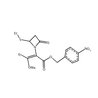 CCSC1CC(=O)N1/C(C(=O)OCc1ccc([N+](=O)[O-])cc1)=C(\CC)OC